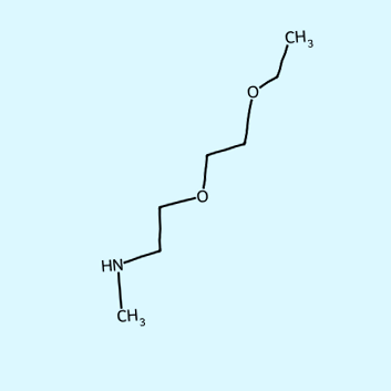 CCOCCOCCNC